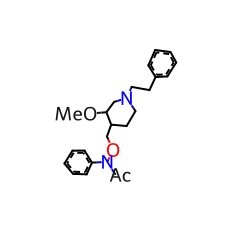 COC1CN(CCc2ccccc2)CCC1CON(C(C)=O)c1ccccc1